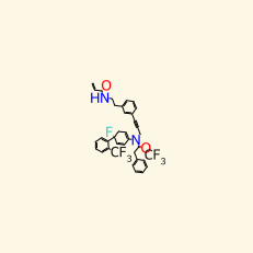 C=CC(=O)NCCc1cccc(C#CCN(C(=O)Cc2ccccc2C(F)(F)F)C2=CCC(F)(c3ccccc3C(F)(F)F)C=C2)c1